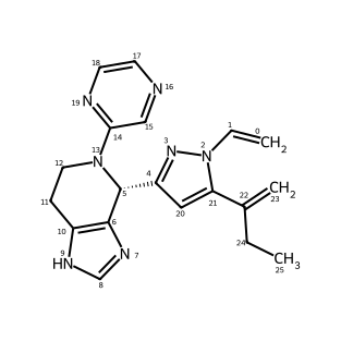 C=Cn1nc([C@@H]2c3nc[nH]c3CCN2c2cnccn2)cc1C(=C)CC